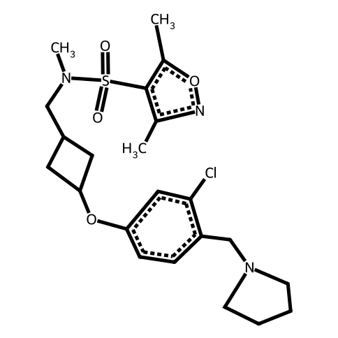 Cc1noc(C)c1S(=O)(=O)N(C)CC1CC(Oc2ccc(CN3CCCC3)c(Cl)c2)C1